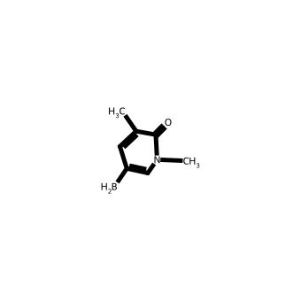 Bc1cc(C)c(=O)n(C)c1